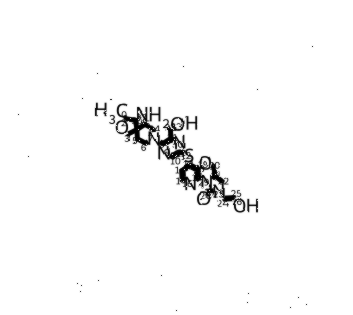 C[C@@H]1OCC2(CCN(c3ncc(Sc4ccnc5c4OCC4CN(CCO)C(=O)N54)nc3CO)CC2)[C@@H]1N